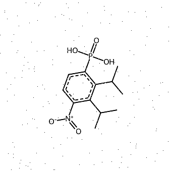 CC(C)c1c([N+](=O)[O-])ccc(P(=O)(O)O)c1C(C)C